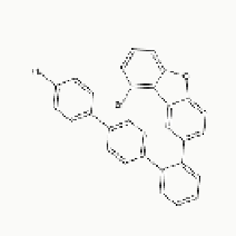 Clc1ccc(-c2ccc(-c3ccccc3-c3ccc4oc5cccc(Br)c5c4c3)cc2)cc1